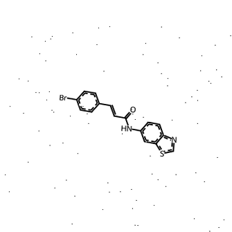 O=C(/C=C/c1ccc(Br)cc1)Nc1ccc2ncsc2c1